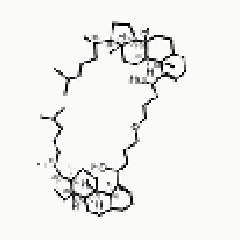 CC(C)CCC[C@@H](C)[C@H]1CC[C@H]2[C@@H]3CCC4CCC=C(C(O)CCCOCCCC(O)C5=CCCC6CC[C@H]7[C@@H]8CC[C@H]([C@H](C)CCCC(C)C)[C@@]8(C)CC[C@@H]7[C@@]56C)[C@]4(C)[C@H]3CC[C@]12C